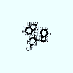 Clc1ncc(Cl)c(-n2cnc3ccccc32)n1.c1ccc2[nH]cnc2c1